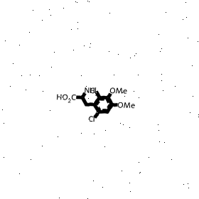 COc1cc(Cl)c(CC(N)C(=O)O)c(Cl)c1OC